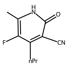 CCCc1c(F)c(C)[nH]c(=O)c1C#N